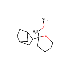 [SiH3]O[SiH2]C1(C2CC3CCC2C3)CCCCO1